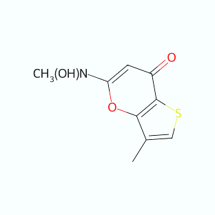 Cc1csc2c(=O)cc(N(C)O)oc12